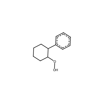 OOC1CCCCC1c1ccccc1